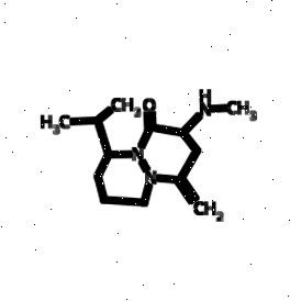 C=C1CC(NC)C(=O)N2C(C(C)C)CCCN12